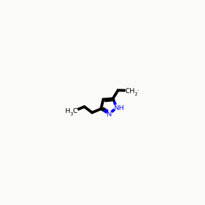 [CH2]Cc1cc(CCC)n[nH]1